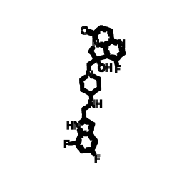 O=c1ccc2ncc(F)c3c2n1C[C@@]3(O)CN1CCC(NCc2cc3cc(F)cc(F)c3[nH]2)CC1